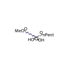 CCCCCC(=O)CC[C@@H]1[C@H](/C=C/C=C/C=C/C(=O)OC)[C@@H](O)C[C@H]1O